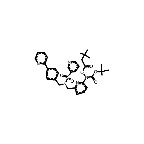 CC(C)(C)CC(=O)ON(C(=O)OC(C)(C)C)c1cccc(CN(Cc2ccc(-c3ccccn3)cc2)S(=O)(=O)c2cccnc2)n1